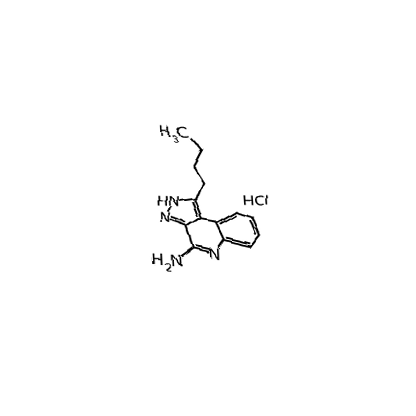 CCCCc1[nH]nc2c(N)nc3ccccc3c12.Cl